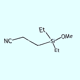 CC[Si](CC)(CCC#N)OC